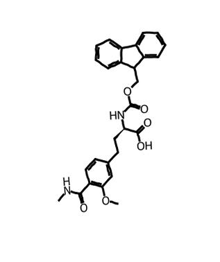 CNC(=O)c1ccc(CC[C@@H](NC(=O)OCC2c3ccccc3-c3ccccc32)C(=O)O)cc1OC